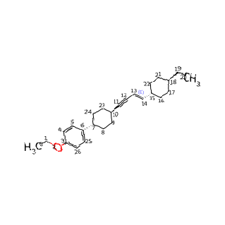 CCOc1ccc([C@H]2CC[C@H](C#C/C=C/[C@H]3CC[C@H](CC)CC3)CC2)cc1